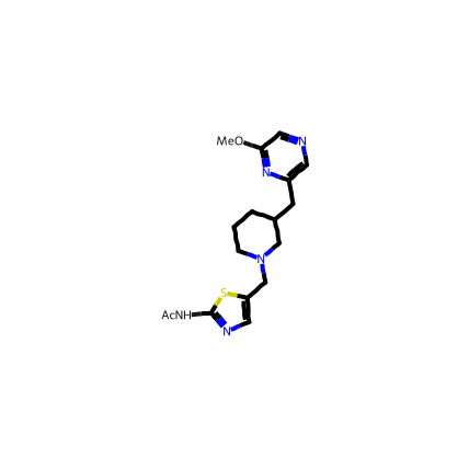 COc1cncc(CC2CCCN(Cc3cnc(NC(C)=O)s3)C2)n1